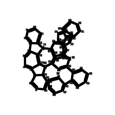 C1=CC2c3ccc4c5ccccc5n(-c5cccc(-c6ccccc6)c5)c4c3N(c3nc(-c4ccccc4)nc(-c4ccccc4-c4ccccc4)n3)C2C=C1